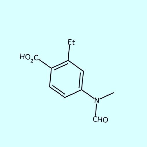 CCc1cc(N(C)C=O)ccc1C(=O)O